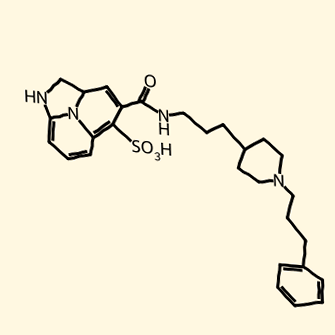 O=C(NCCCC1CCN(CCCc2ccccc2)CC1)C1=CC2CNC3=CC=CC(=C1S(=O)(=O)O)N32